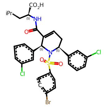 CC(C)C[C@H](NC(=O)C1=CC[C@@H](c2cccc(Cl)c2)N(S(=O)(=O)c2ccc(Br)cc2)[C@H]1c1cccc(Cl)c1)C(=O)O